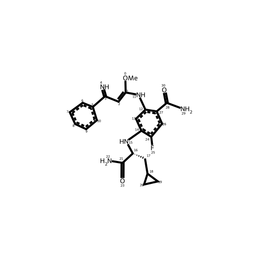 CO/C(=C\C(=N)c1ccccc1)Nc1cc(N[C@H](CC2CC2)C(N)=O)c(F)cc1C(N)=O